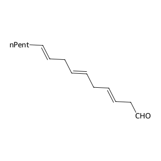 CCCCCC=CCC=CCC=CCC=O